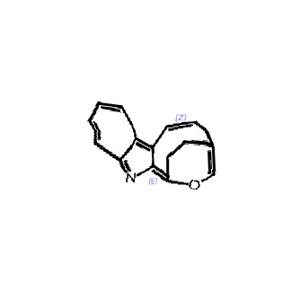 C1=C2/C=C\C3=c4ccccc4=N/C3=C(\CC2)O1